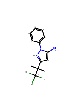 CC(C)(c1cc(N)n(-c2ccccc2)n1)C(F)(F)F